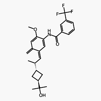 C=c1cc(OC)c(NC(=O)c2cccc(C(F)(F)F)c2)c/c1=C/C(C)[C@H]1C[C@H](C(C)(C)O)C1